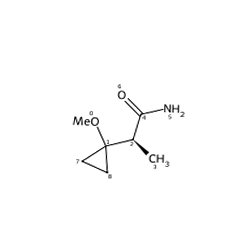 COC1([C@H](C)C(N)=O)CC1